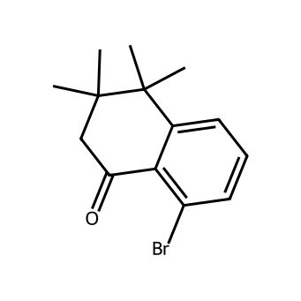 CC1(C)CC(=O)c2c(Br)cccc2C1(C)C